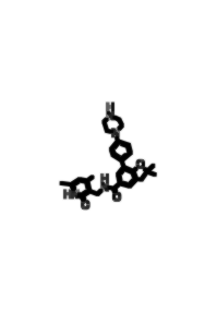 Cc1cc(C)c(CNC(=O)c2cc3c(c(-c4ccc(N5CCNCC5)cc4)c2)OC(C)(C)C3)c(=O)[nH]1